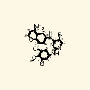 COc1c(Cl)cc(Nc2ncc(F)c(NC3=CC=C4OC=CC(N)=C4C3)n2)cc1Cl